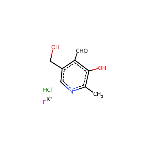 Cc1ncc(CO)c(C=O)c1O.Cl.[I-].[K+]